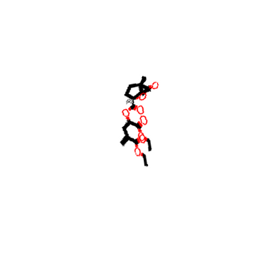 C=C(CC(OC(=O)[C@]12CCC(C)(C(=O)O1)C2(C)C)C(=O)OCC)C(=O)OCC